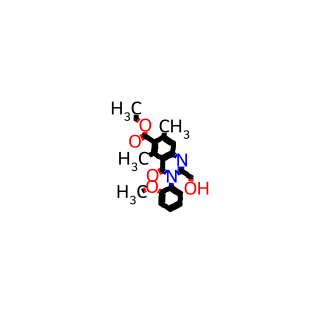 CCOC(=O)c1c(C)cc2nc(CO)n(-c3ccccc3OC)c(=O)c2c1C